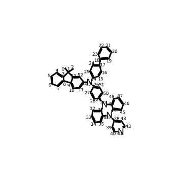 CC1(C)c2ccccc2-c2ccc(N(c3ccc(-c4ccccc4)cc3)c3ccc(N4c5ccccc5N(c5ccncc5)c5ccccc54)cc3)cc21